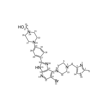 Cc1nc(CN2CCN(c3c(Br)cnc4[nH]c(-c5ccc(N6CCN(C(=O)O)CC6)cc5)nc34)CC2)cs1